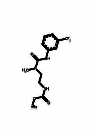 CN(CCNC(=O)OC(C)(C)C)C(=O)Nc1cccc(C(F)(F)F)c1